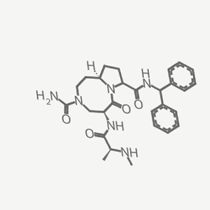 CN[C@@H](C)C(=O)N[C@H]1CN(C(N)=O)CC[C@H]2CCC(C(=O)NC(c3ccccc3)c3ccccc3)N2C1=O